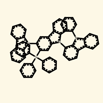 c1ccc(-n2c3ccccc3c3cccc(-n4c5ccccc5c5cc(-n6c7ccccc7c7ccccc76)c([Si](c6ccccc6)(c6ccccc6)c6ccccc6)cc54)c32)cc1